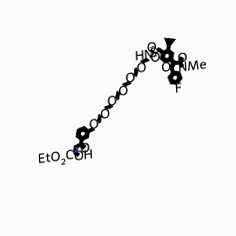 CCOC(=O)/C(O)=C/C(=O)c1cccc(COCCOCCOCCOCCOCCOCCNS(=O)(=O)Cc2cc3oc(-c4ccc(F)cc4)c(C(=O)NC)c3cc2C2CC2)c1